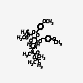 COc1ccc(CO[C@@H]2[C@H]3N=C(N(C)C(=O)OC(C)(C)C)S[C@H]3O[C@H](C(=O)N(C)OC)[C@H]2OCc2ccc(OC)cc2)cc1